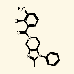 Cc1nc2c(n1-c1ccccc1)CCN(C(=O)c1cccc(C(F)(F)F)c1Cl)C2